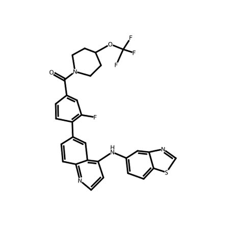 O=C(c1ccc(-c2ccc3nccc(Nc4ccc5scnc5c4)c3c2)c(F)c1)N1CCC(OC(F)(F)F)CC1